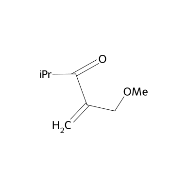 C=C(COC)C(=O)C(C)C